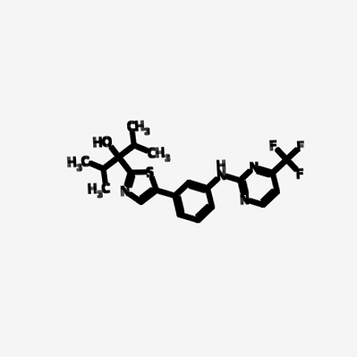 CC(C)C(O)(c1ncc(-c2cccc(Nc3nccc(C(F)(F)F)n3)c2)s1)C(C)C